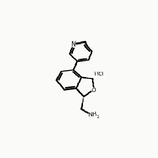 Cl.NC[C@@H]1OCc2c(-c3cccnc3)cccc21